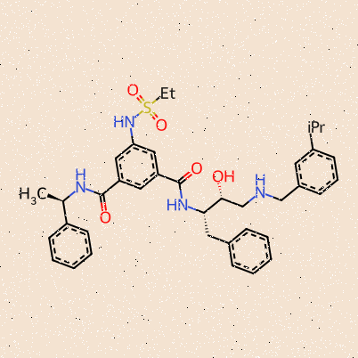 CCS(=O)(=O)Nc1cc(C(=O)N[C@@H](Cc2ccccc2)[C@H](O)CNCc2cccc(C(C)C)c2)cc(C(=O)N[C@H](C)c2ccccc2)c1